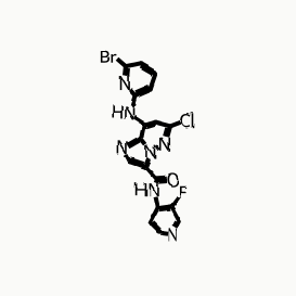 O=C(Nc1ccncc1F)c1cnc2c(Nc3cccc(Br)n3)cc(Cl)nn12